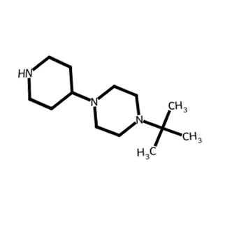 CC(C)(C)N1CCN(C2CCNCC2)CC1